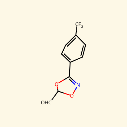 O=CC1ON=C(c2ccc(C(F)(F)F)cc2)O1